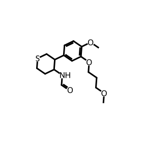 COCCCOc1cc(C2CSCCC2NC=O)ccc1OC